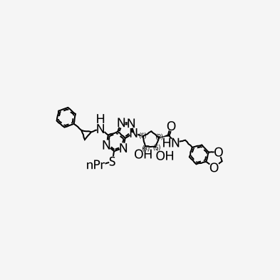 CCCSc1nc(NC2CC2c2ccccc2)c2nnn([C@H]3C[C@@H](C(=O)NCc4ccc5c(c4)OCO5)[C@H](O)[C@@H]3O)c2n1